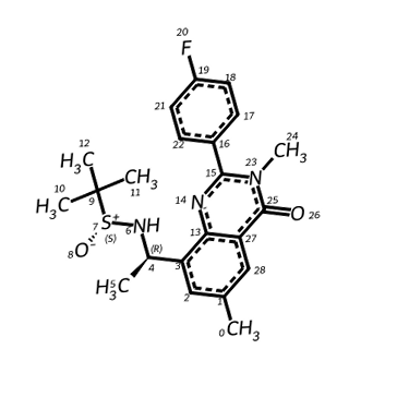 Cc1cc([C@@H](C)N[S@+]([O-])C(C)(C)C)c2nc(-c3ccc(F)cc3)n(C)c(=O)c2c1